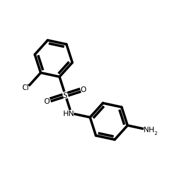 Nc1ccc(NS(=O)(=O)c2ccccc2Cl)cc1